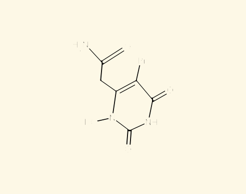 Cn1c(CC(N)=O)c(Br)c(=O)[nH]c1=O